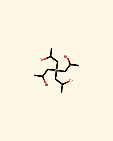 CC(Br)C[Si](CC(C)Br)(CC(C)Br)CC(C)Br